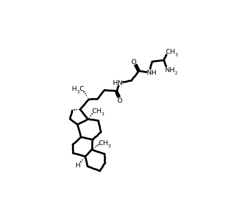 CC(N)CNC(=O)CNC(=O)CC[C@@H](C)[C@H]1CCC2C3CC[C@@H]4CCCC[C@]4(C)C3CC[C@@]21C